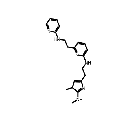 CNC1=NC(CCNc2cccc(CCNc3ccccn3)n2)=CC1C